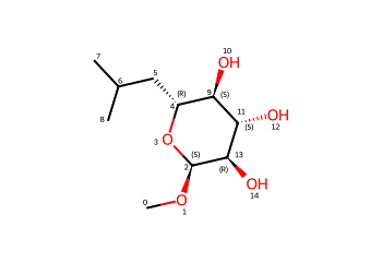 CO[C@H]1O[C@H](CC(C)C)[C@@H](O)[C@H](O)[C@H]1O